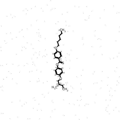 CCCCCCOc1ccc(C(=S)Oc2ccc(OC[C@@H](C)CC)cc2)cc1